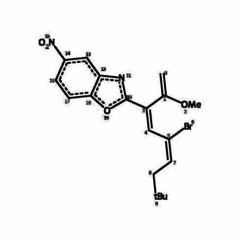 C=C(OC)/C(=C\C(Br)=C/CC(C)(C)C)c1nc2cc([N+](=O)[O-])ccc2o1